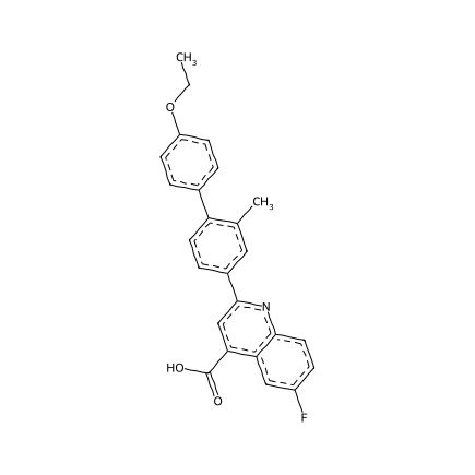 CCOc1ccc(-c2ccc(-c3cc(C(=O)O)c4cc(F)ccc4n3)cc2C)cc1